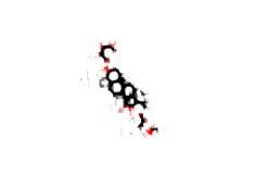 CC(=O)O[C@@H]([C@H]1C[C@@H](C)[C@H]2[C@@](O)(O1)[C@H](O)[C@@]1(C)[C@@H]3CC[C@H]4C(C)(C)C(O[C@@H]5OCC(O)[C@H](O)[C@H]5O)CCC45C[C@@]35CC[C@]21C)C(C)(C)C